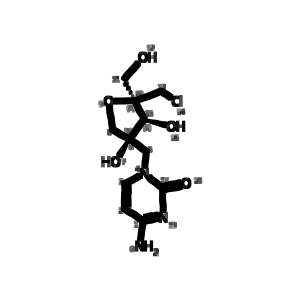 Nc1ccn(C[C@]2(O)CO[C@@](CO)(CCl)[C@H]2O)c(=O)n1